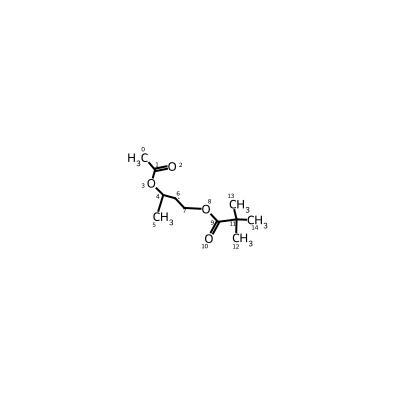 CC(=O)OC(C)[CH]COC(=O)C(C)(C)C